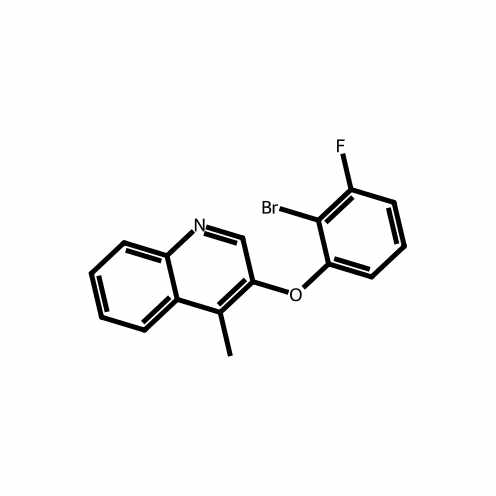 Cc1c(Oc2cccc(F)c2Br)cnc2ccccc12